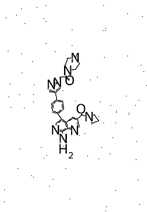 CN1CCN(C(=O)Cn2cc(-c3ccc(-c4cnc(N)c5ncc(C(=O)N6CCC6)cc45)cc3)cn2)CC1